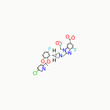 COC(=O)c1cc(F)c2nc(CN3C[C@@H]4[C@H](C3)[C@H]4c3c(F)ccc4c3OC(C)(c3ccc(Cl)cn3)O4)n(C[C@@H]3CCO3)c2c1